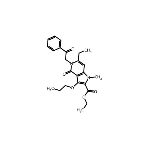 CCCOc1c(C(=O)OCC)n(C)c2cc(CC)n(CC(=O)c3ccccc3)c(=O)c12